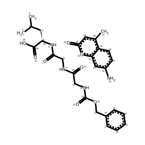 CC(C)C[C@H](NC(=O)CNC(=O)CNC(=O)OCc1ccccc1)C(=O)O.Cc1cc(=O)oc2cc(N)ccc12